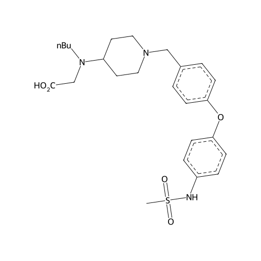 CCCCN(CC(=O)O)C1CCN(Cc2ccc(Oc3ccc(NS(C)(=O)=O)cc3)cc2)CC1